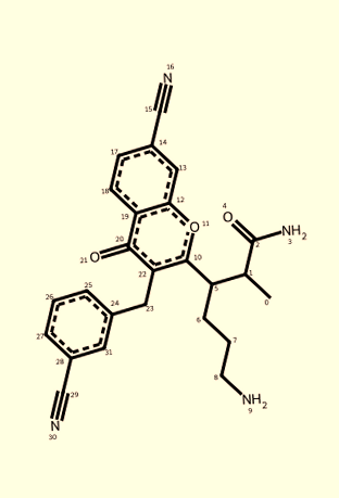 CC(C(N)=O)C(CCCN)c1oc2cc(C#N)ccc2c(=O)c1Cc1cccc(C#N)c1